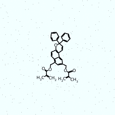 C=C(C)C(=O)OCc1cc(COC(=O)C(=C)C)c2ccc3c(c2c1)C=CC(c1ccccc1)(c1ccccc1)O3